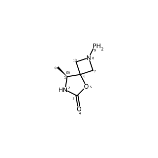 C[C@@H]1NC(=O)OC12CN(P)C2